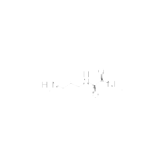 NCCCNC(=O)C(N)=O